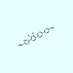 CCCCc1ccc(-c2ccc(-c3ccc(-c4ccc(CCC)cc4)cc3)c(F)c2F)cc1